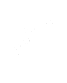 COC(=O)c1cccc(-c2cccc(-c3onc(C)c3NC(=O)OCCc3ccccc3Cl)c2)c1